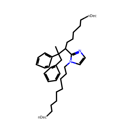 CCCCCCCCCCCCCCCCCCn1ccnc1C(CCCCCCCCCCCCCCC)C(C)(Cc1ccccc1)c1ccccc1